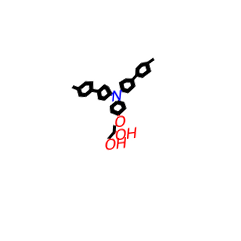 Cc1ccc(-c2ccc(N(c3ccc(OCC(O)CO)cc3)c3ccc(-c4ccc(C)cc4)cc3)cc2)cc1